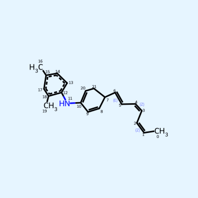 C\C=C/C=C\C=C\C1C=CC(Nc2ccc(C)cc2C)=CC1